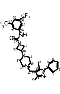 Cc1nn(-c2ccccc2)c(C)c1CN1CCN(C2CN(C(=O)Nc3cc(C(F)(F)F)cc(C(F)(F)F)c3)C2)CC1